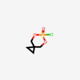 O=P1(Cl)OCC2(CC2)CO1